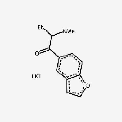 CCC(NC)C(=O)c1ccc2occc2c1.Cl